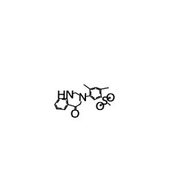 Cc1cc(C)c(S(C)(=O)=O)cc1N1CNc2ccccc2C(=O)C1